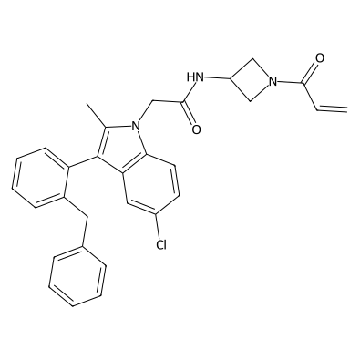 C=CC(=O)N1CC(NC(=O)Cn2c(C)c(-c3ccccc3Cc3ccccc3)c3cc(Cl)ccc32)C1